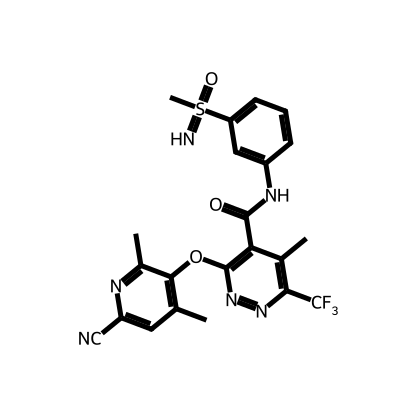 Cc1cc(C#N)nc(C)c1Oc1nnc(C(F)(F)F)c(C)c1C(=O)Nc1cccc(S(C)(=N)=O)c1